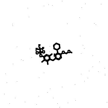 COCOc1ccc(Cc2c(C)cc(OS(=O)(=O)C(F)(F)F)c(C)c2C)nc1C1CCCCC1